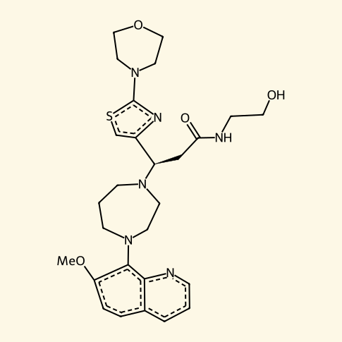 COc1ccc2cccnc2c1N1CCCN([C@H](CC(=O)NCCO)c2csc(N3CCOCC3)n2)CC1